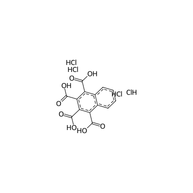 Cl.Cl.Cl.Cl.O=C(O)c1c(C(=O)O)c(C(=O)O)c2ccccc2c1C(=O)O